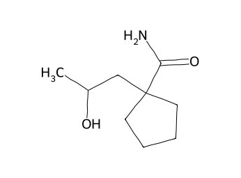 CC(O)CC1(C(N)=O)CCCC1